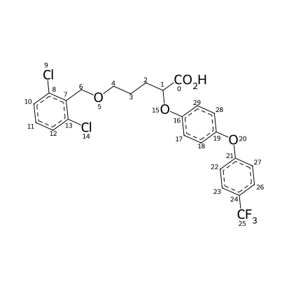 O=C(O)C(CCCOCc1c(Cl)cccc1Cl)Oc1ccc(Oc2ccc(C(F)(F)F)cc2)cc1